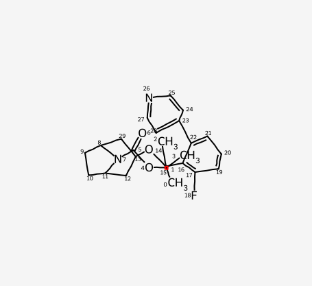 CC(C)(C)OC(=O)N1C2CCC1CC(OCc1c(F)cccc1-c1ccncc1)C2